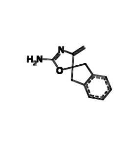 C=C1N=C(N)OC12Cc1ccccc1C2